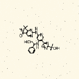 CN1C(=O)c2cnc(Nc3cc(N[C@H](CO)c4ccccc4)c(-c4nc(C(C)(C)O)no4)cn3)nc2C1(C)C